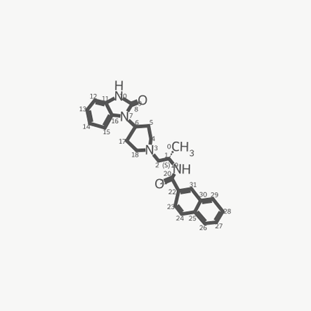 C[C@@H](CN1CCC(n2c(=O)[nH]c3ccccc32)CC1)NC(=O)c1ccc2ccccc2c1